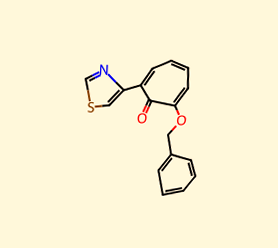 O=c1c(OCc2ccccc2)ccccc1-c1cscn1